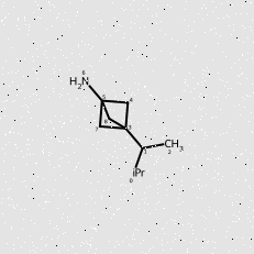 CC(C)C(C)C12CC(N)(C1)C2